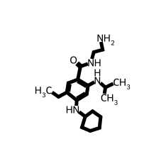 CCc1cc(C(=O)NCCN)c(NC(C)C)cc1NC1CCCCC1